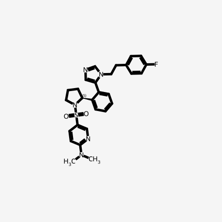 CN(C)c1ccc(S(=O)(=O)N2CCC[C@H]2c2ccccc2-c2cncn2CCc2ccc(F)cc2)cn1